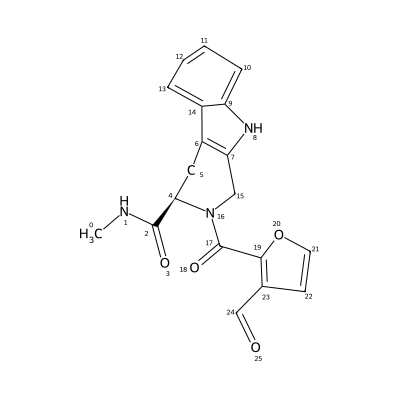 CNC(=O)[C@H]1Cc2c([nH]c3ccccc23)CN1C(=O)c1occc1C=O